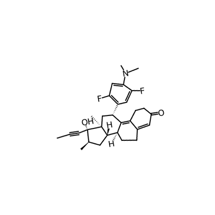 CC#C[C@]1(O)[C@H](C)C[C@H]2[C@@H]3CCC4=CC(=O)CCC4=C3[C@@H](c3cc(F)c(N(C)C)cc3F)C[C@@]21C